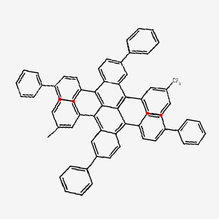 Cc1cccc(-c2c3cc(-c4ccccc4)ccc3c(-c3ccc(-c4ccccc4)cc3)c3c(-c4cccc(C(F)(F)F)c4)c4cc(-c5ccccc5)ccc4c(-c4ccc(-c5ccccc5)cc4)c23)c1